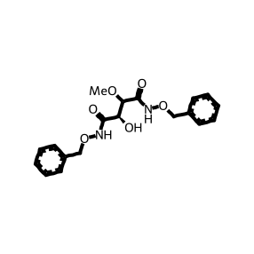 COC(C(=O)NOCc1ccccc1)[C@@H](O)C(=O)NOCc1ccccc1